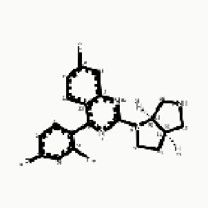 Fc1ccc(-c2nc(N3CC[C@@H]4CNC[C@@H]43)nc3cc(F)ccc23)c(F)c1